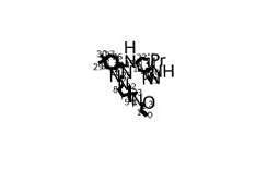 C=CC(=O)N1CC2(CCN(c3nc4c(c(N[C@H](Cc5c[nH]nn5)CC(C)C)n3)CCC(C)(C)C4)C2)C1